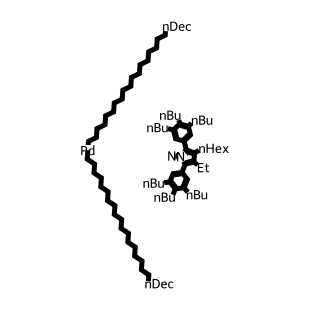 CCCCCCC1=C(c2cc(CCCC)c(CCCC)c(CCCC)c2)[N+](=[N-])C(c2cc(CCCC)c(CCCC)c(CCCC)c2)=C1CC.CCCCCCCCCCCCCCCCCCCCCCCCCCC[CH2][Pd][CH2]CCCCCCCCCCCCCCCCCCCCCCCCCCC